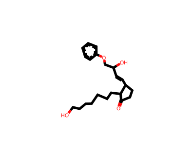 O=C1CCC(/C=C/C(O)COc2ccccc2)C1CCCCCCCO